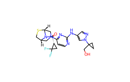 O=C([C@@H]1CC1(F)F)N1[C@H]2CS[C@@H]1CN(c1ccnc(Nc3cnn(C4(CO)CC4)c3)n1)C2